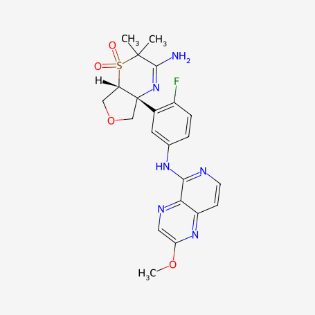 COc1cnc2c(Nc3ccc(F)c([C@@]45COC[C@@H]4S(=O)(=O)C(C)(C)C(N)=N5)c3)nccc2n1